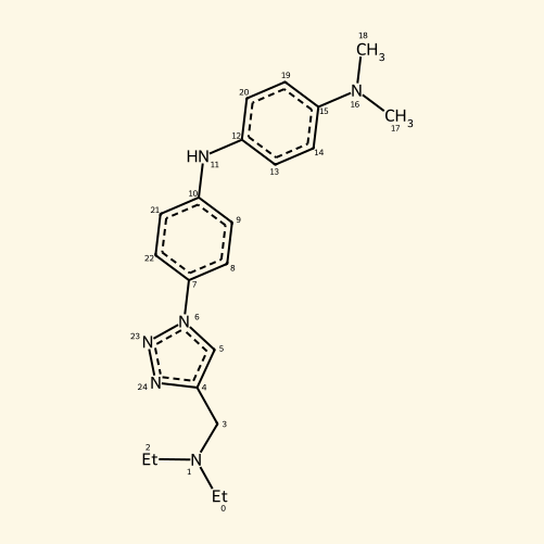 CCN(CC)Cc1cn(-c2ccc(Nc3ccc(N(C)C)cc3)cc2)nn1